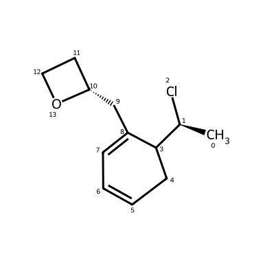 C[C@H](Cl)C1CC=CC=C1C[C@H]1CCO1